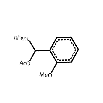 CCCCCC(OC(C)=O)c1ccccc1OC